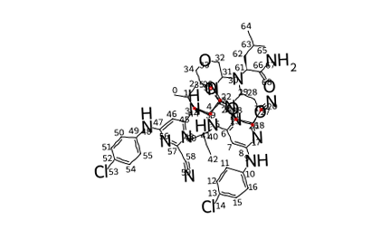 CC(C)C[C@H](Nc1cc(Nc2ccc(Cl)cc2)nc(C#N)n1)C(=O)N1CCOCC1N(C1COCCN1C(=O)[C@H](CC(C)C)Nc1cc(Nc2ccc(Cl)cc2)nc(C#N)n1)[C@@H](CC(C)C)C(N)=O